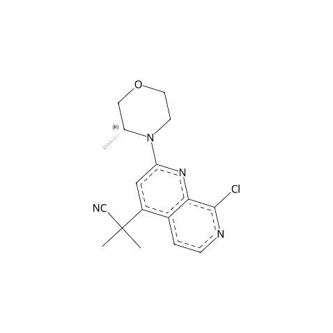 C[C@@H]1COCCN1c1cc(C(C)(C)C#N)c2ccnc(Cl)c2n1